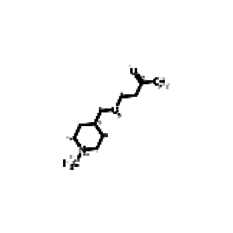 CC(=O)CCOCC1CCN(C)CC1